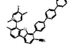 Cc1cc(-c2c(C)ccc3c2oc2c(-c4ccc(-c5ccc(-c6ccccc6)cc5)cc4)c(C#N)ccc23)[n+](C)cc1F